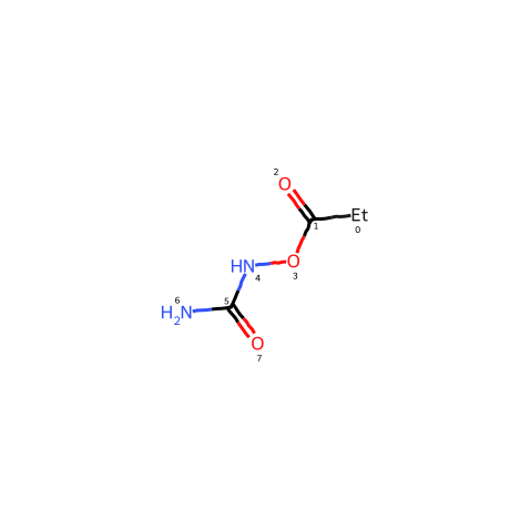 CCC(=O)ONC(N)=O